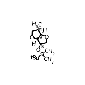 C[C@H]1CO[C@H]2[C@@H]1OC[C@H]2O[Si](C)(C)C(C)(C)C